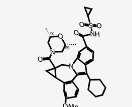 COc1ccc2c(c1)C1CC1(C(=O)N1C[C@@H](C)O[C@@H](C)C1)Cn1c-2c(C2CCCCC2)c2ccc(C(=O)NS(=O)(=O)C3CC3)cc21